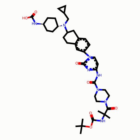 CC(C)(C)OC(=O)NC(C)(C)C(=O)N1CCN(C(=O)Nc2ccn(-c3ccc4c(c3)CCC(N(CC3CC3)[C@H]3CC[C@H](NC(=O)O)CC3)C4)c(=O)n2)CC1